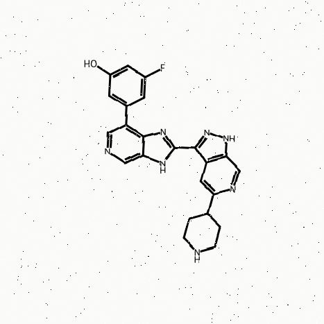 Oc1cc(F)cc(-c2cncc3[nH]c(-c4n[nH]c5cnc(C6CCNCC6)cc45)nc23)c1